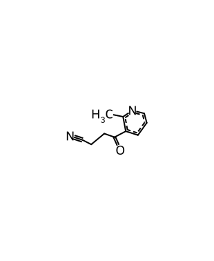 Cc1ncccc1C(=O)CCC#N